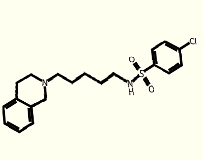 O=S(=O)(NCCCCCN1CCc2ccccc2C1)c1ccc(Cl)cc1